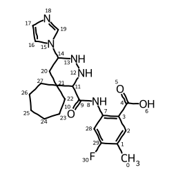 Cc1cc(C(=O)O)c(NC(=O)C2NNC(n3ccnc3)CC23CCCCCC3)cc1F